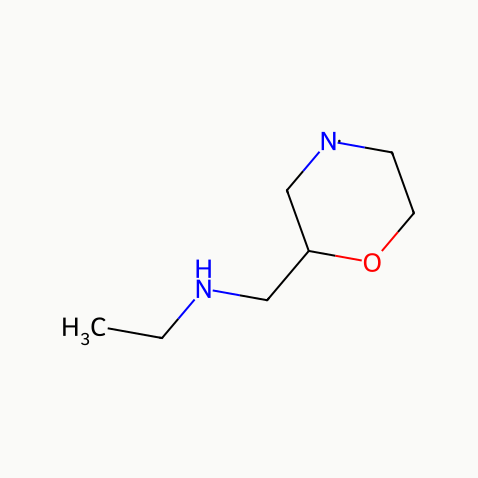 CCNCC1C[N]CCO1